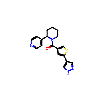 O=C(c1csc(-c2cn[nH]c2)c1)N1CCCCC1c1ccncc1